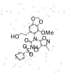 COc1c2c(cc(CCO)c1N(C(=O)NS(=O)(=O)c1ccsc1)c1onc(C)c1Cl)OCO2